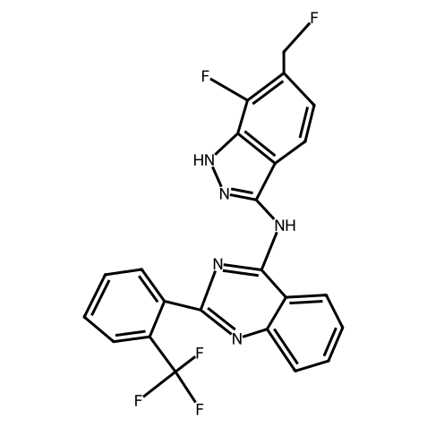 FCc1ccc2c(Nc3nc(-c4ccccc4C(F)(F)F)nc4ccccc34)n[nH]c2c1F